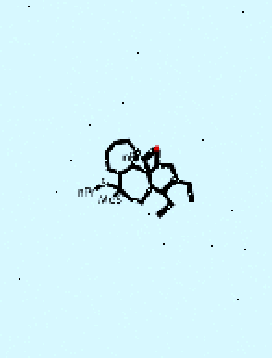 C=CC1=C(C=C)C2CCC(SC)(SCCC)C3CCCCCC3C2(C(=C)CCC)C(=C)C1